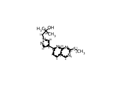 CSc1ncc2ccc(-c3cnn(CC(C)(C)O)c3)nc2n1